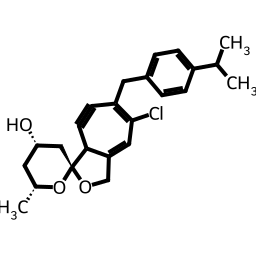 CC(C)c1ccc(CC2=C(Cl)C=C3CO[C@@]4(C[C@@H](O)C[C@@H](C)O4)C3C#C2)cc1